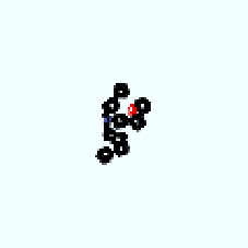 CC1(C)c2cc(C/C(=C/c3ccc(-c4ccccc4)cc3)c3ccc(-c4cccc5c4oc4ccccc45)cc3)ccc2-c2c(-c3ccccc3)cccc21